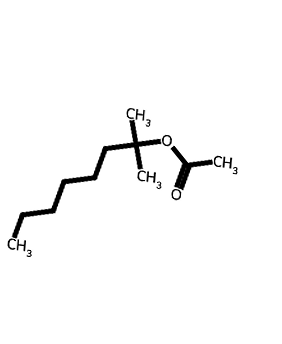 CCCCCCC(C)(C)OC(C)=O